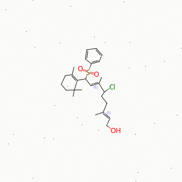 CC1=C(C(/C=C(\C)C(Cl)CC/C(C)=C/CO)S(=O)(=O)c2ccccc2)C(C)(C)CCC1